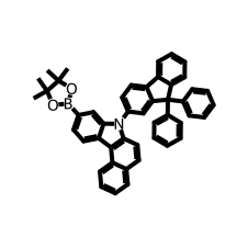 CC1(C)OB(c2ccc3c4c5ccccc5ccc4n(-c4ccc5c(c4)C(c4ccccc4)(c4ccccc4)c4ccccc4-5)c3c2)OC1(C)C